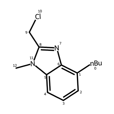 CCCCc1cccc2c1nc(CCl)n2C